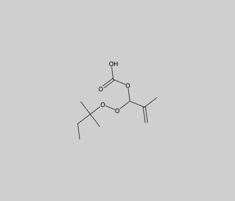 C=C(C)C(OOC(C)(C)CC)OC(=O)O